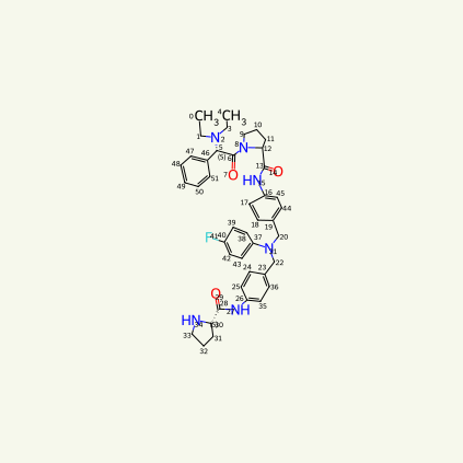 CCN(CC)[C@H](C(=O)N1CCCC1C(=O)Nc1ccc(CN(Cc2ccc(NC(=O)[C@@H]3CCCN3)cc2)c2ccc(F)cc2)cc1)c1ccccc1